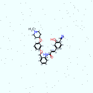 CN1CCC(Oc2cccc(OCc3ccccc3NC(=O)/C=C/c3ccc(C#N)c(O)c3)c2)CC1